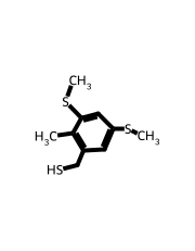 CSc1cc(CS)c(C)c(SC)c1